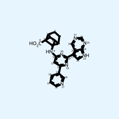 O=C(O)C1C2CCC(CC2)C1Nc1cc(-c2cccnc2)nc(-c2c[nH]c3ncncc23)n1